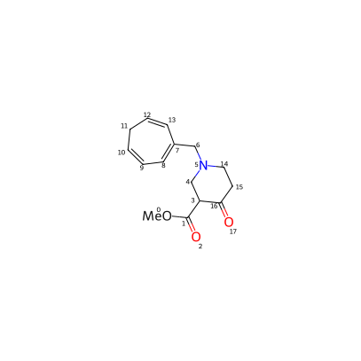 COC(=O)C1CN(CC2=CC=CCC=C2)CCC1=O